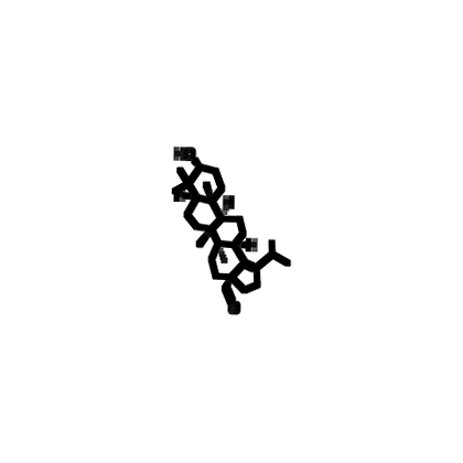 CC(C)C1=C2[C@H]3CC[C@@H]4[C@@]5(C)CC[C@H](O)C(C)(C)[C@H]5CC[C@@]4(C)[C@]3(C)CC[C@@]2(C=O)CC1